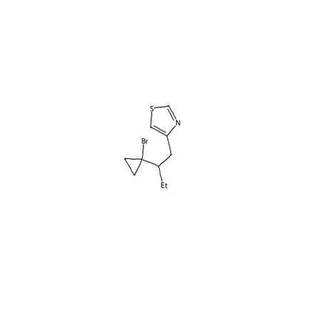 CCC(Cc1cscn1)C1(Br)CC1